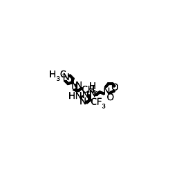 Cc1nn(C2CCN(C)CC2)cc1Nc1ncc(C(F)(F)F)c(NCCCN2CCCOCC2=O)n1